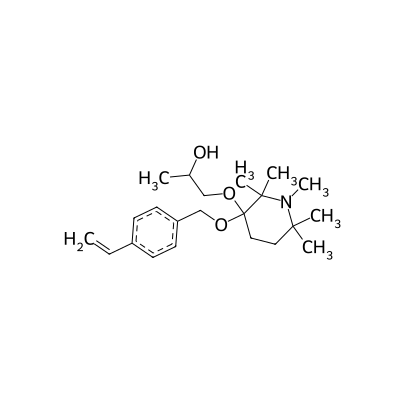 C=Cc1ccc(COC2(OCC(C)O)CCC(C)(C)N(C)C2(C)C)cc1